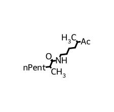 CCCCCC(C)C(=O)NCCCCC(C)C(C)=O